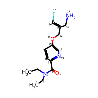 CCN(CC)C(=O)c1ccc(OCC(=CF)CN)cn1